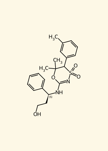 Cc1cccc(C2C(C)(C)OC(N[C@@H](CCO)c3ccccc3)=NS2(=O)=O)c1